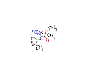 CCOC(C)(C)C(=O)/C(=C/c1ccccc1C)n1cncn1